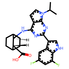 CC(C)n1ccc2c(N[C@@H]3C4CCC(CC4)[C@H]3C(=O)O)nc(-c3c[nH]c4c(F)cc(F)cc34)nc21